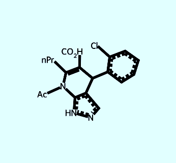 CCCC1=C(C(=O)O)C(c2ccccc2Cl)c2cn[nH]c2N1C(C)=O